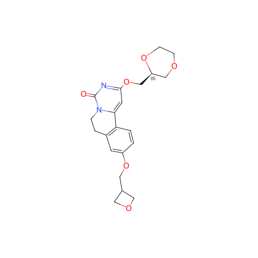 O=c1nc(OC[C@@H]2COCCO2)cc2n1CCc1cc(OCC3COC3)ccc1-2